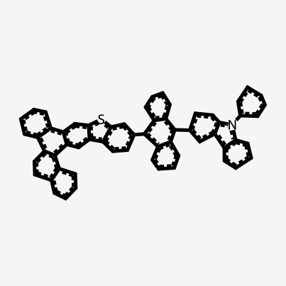 c1ccc(-n2c3ccccc3c3cc(-c4c5ccccc5c(-c5ccc6c(c5)sc5cc7c8ccccc8c8ccc9ccccc9c8c7cc56)c5ccccc45)ccc32)cc1